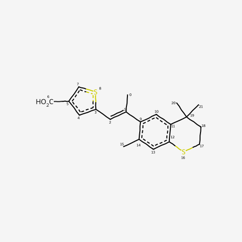 CC(=Cc1cc(C(=O)O)cs1)c1cc2c(cc1C)SCCC2(C)C